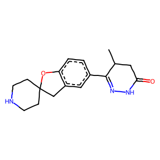 CC1CC(=O)NN=C1c1ccc2c(c1)CC1(CCNCC1)O2